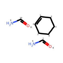 C1=CCCCC1.NC=O.NC=O